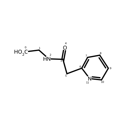 O=C(O)CNC(=O)Cc1ccccn1